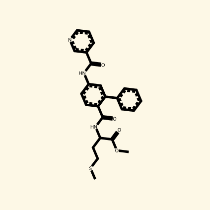 COC(=O)C(CCSC)NC(=O)c1ccc(NC(=O)c2cccnc2)cc1-c1ccccc1